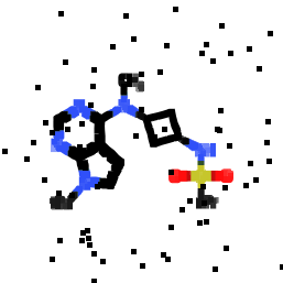 CCCS(=O)(=O)N[C@H]1C[C@@H](N(C)c2ncnc3c2ccn3C(C)(C)C)C1